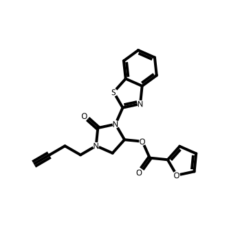 C#CCCN1CC(OC(=O)c2ccco2)N(c2nc3ccccc3s2)C1=O